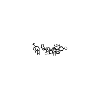 CSCCC(NC(C)=O)C(=O)SCC(=O)[C@@]1(O)[C@@H](C)C[C@H]2[C@@H]3CCC4=CC(=O)C=C[C@]4(C)C3(F)C(O)C[C@@]21C